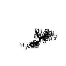 CCOC(=O)C1C(CCOS(=O)(=O)c2ccc(C)cc2)C1C(NC(=O)OC(C)(C)C)C(=O)O